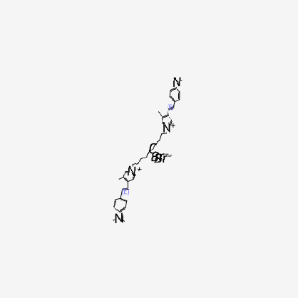 Cc1c[n+](CCCCCCCCCC[n+]2ccc(/C=C/c3ccc(N(C)C)cc3)c(C)c2)ccc1/C=C/c1ccc(N(C)C)cc1.[Br-].[Br-]